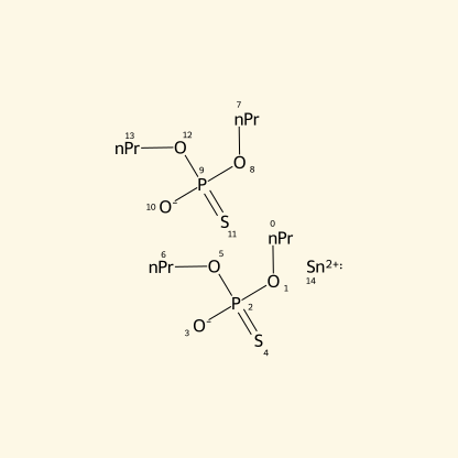 CCCOP([O-])(=S)OCCC.CCCOP([O-])(=S)OCCC.[Sn+2]